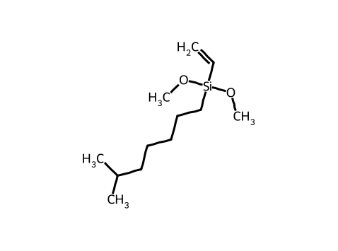 C=C[Si](CCCCCC(C)C)(OC)OC